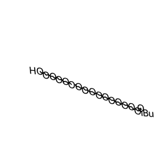 CCC(C)C(=O)OCCOCCOCCOCCOCCOCCOCCOCCOCCOCCOCCOCCOCCOCCOCCO